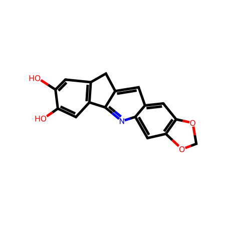 Oc1cc2c(cc1O)-c1nc3cc4c(cc3cc1C2)OCO4